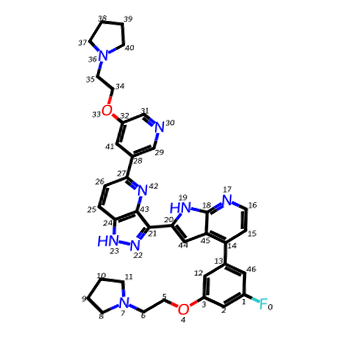 Fc1cc(OCCN2CCCC2)cc(-c2ccnc3[nH]c(-c4n[nH]c5ccc(-c6cncc(OCCN7CCCC7)c6)nc45)cc23)c1